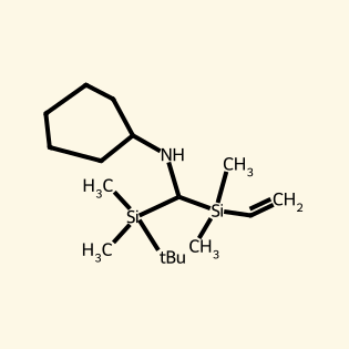 C=C[Si](C)(C)C(NC1CCCCC1)[Si](C)(C)C(C)(C)C